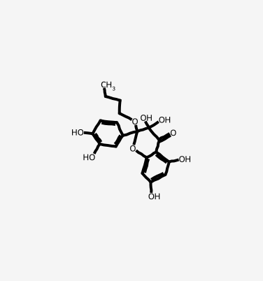 CCCCOC1(c2ccc(O)c(O)c2)Oc2cc(O)cc(O)c2C(=O)C1(O)O